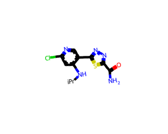 CC(C)Nc1cc(Cl)ncc1-c1nnc(C(N)=O)s1